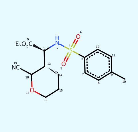 CCOC(=O)[C@@H](NS(=O)(=O)c1ccc(C)cc1)[C@@H]1CCCOC1C#N